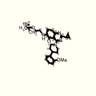 COc1ccccc1C1CCN(c2nc(C3CC3)nc3ccc(NCCO[Si](C)(C)C(C)(C)C)c(Cl)c23)CC1